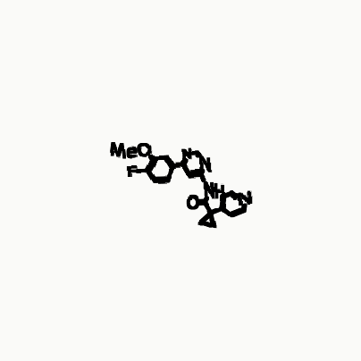 COc1cc(-c2cc(NC(=O)C3(c4ccncc4)CC3)ncn2)ccc1F